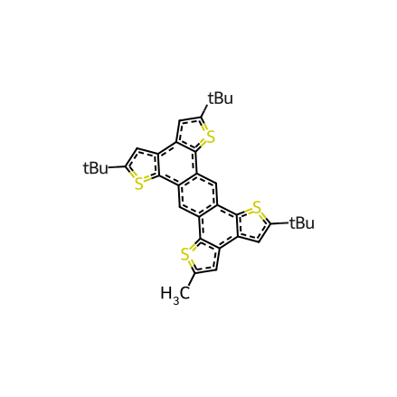 Cc1cc2c3cc(C(C)(C)C)sc3c3cc4c(cc3c2s1)c1sc(C(C)(C)C)cc1c1cc(C(C)(C)C)sc14